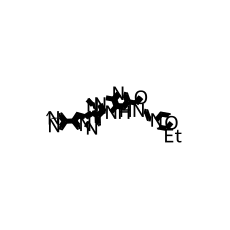 CCC1CN(CCNC(=O)c2cnc(C)c(Nc3nn(C)c4c3cnn3cc(-c5cnn(C)c5)cc43)c2)CCO1